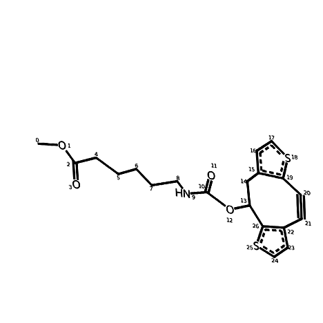 COC(=O)CCCCCNC(=O)OC1Cc2ccsc2C#Cc2ccsc21